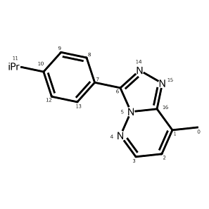 Cc1ccnn2c(-c3ccc(C(C)C)cc3)nnc12